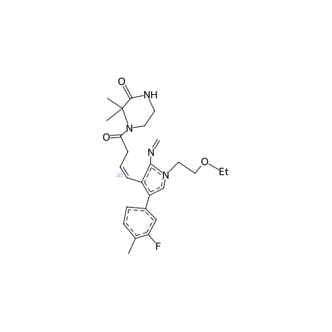 C=Nc1c(/C=C\CC(=O)N2CCNC(=O)C2(C)C)c(-c2ccc(C)c(F)c2)cn1CCOCC